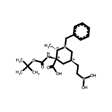 C[C@@H]1N(Cc2ccccc2)C[C@@H](CCB(O)O)C[C@]1(NC(=O)OC(C)(C)C)C(=O)O